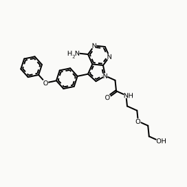 Nc1ncnc2c1c(-c1ccc(Oc3ccccc3)cc1)cn2CC(=O)NCCOCCO